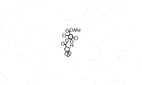 COC(=O)c1cc(Cl)c(O)c(OCC(=O)C2CCC3(CC2)OCCO3)c1Cl